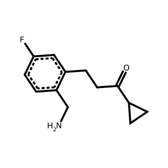 NCc1ccc(F)cc1CCC(=O)C1CC1